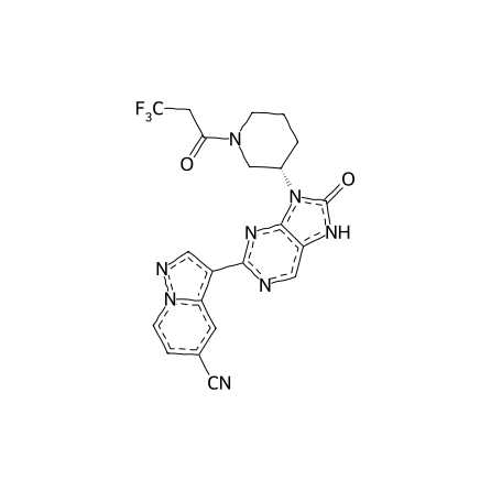 N#Cc1ccn2ncc(-c3ncc4[nH]c(=O)n([C@H]5CCCN(C(=O)CC(F)(F)F)C5)c4n3)c2c1